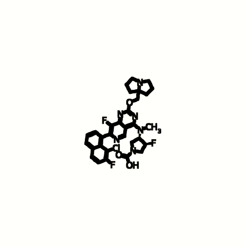 CN(c1nc(OCC23CCCN2CCC3)nc2c(F)c(-c3cccc4ccc(F)c(Cl)c34)ncc12)[C@H]1CN(C(=O)O)C[C@@H]1F